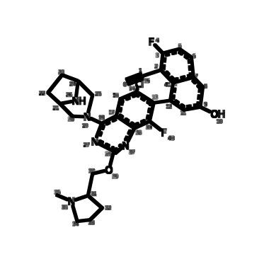 C#Cc1c(F)ccc2cc(O)cc(-c3c(Cl)cc4c(N5CC6CCC(C5)N6)nc(OCC5CCCN5C)nc4c3F)c12